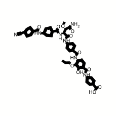 CCCOc1c(NC(=O)c2ccc(NC(=O)[C@@H](NC(=O)c3ccc(NC(=O)c4ccc(C#N)cc4)cc3)[C@@H](OC)C(N)=O)cc2)ccc(C(=O)Nc2ccc(C(=O)O)cc2)c1O